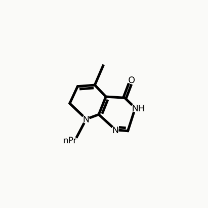 CCCN1CC=C(C)c2c1nc[nH]c2=O